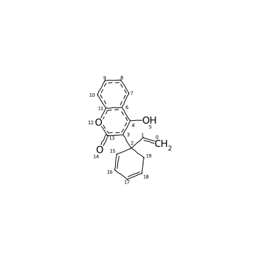 C=CC1(c2c(O)c3ccccc3oc2=O)C=CC=CC1